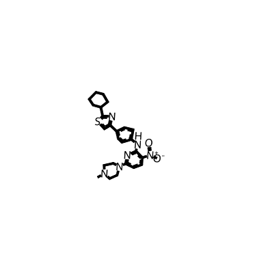 CN1CCN(c2ccc([N+](=O)[O-])c(Nc3ccc(-c4csc(C5CCCCC5)n4)cc3)n2)CC1